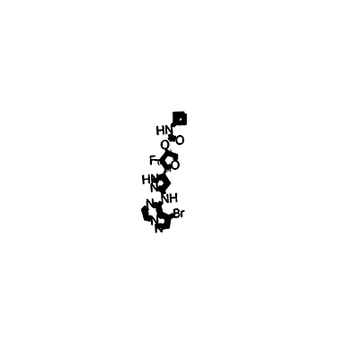 O=C(NC12CC(C1)C2)O[C@H]1CO[C@@H](c2cc(Nc3nccn4ncc(Br)c34)n[nH]2)[C@@H]1F